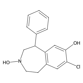 Oc1cc2c(cc1Cl)CCN(O)CC2c1ccccc1